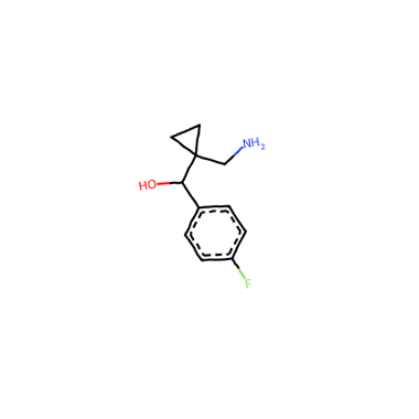 NCC1(C(O)c2ccc(F)cc2)CC1